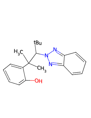 CC(C)(C)C(n1nc2ccccc2n1)C(C)(C)c1ccccc1O